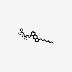 CCCCCCCCC1CCC2Cc3c(cccc3OCC(=O)N(C)CC(=O)OC)CC12